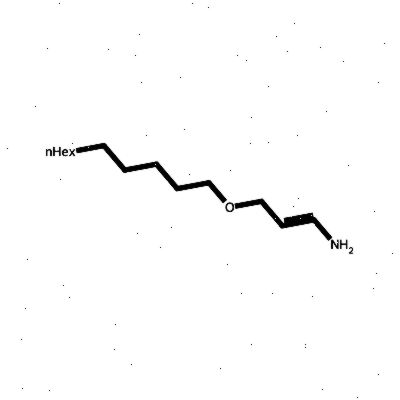 CCCCCCCCCCCOCC=CN